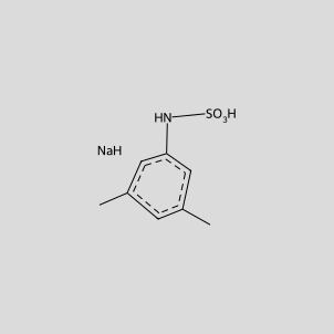 Cc1cc(C)cc(NS(=O)(=O)O)c1.[NaH]